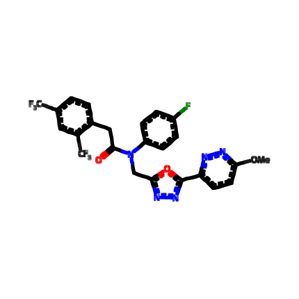 COc1ccc(-c2nnc(CN(C(=O)Cc3ccc(C(F)(F)F)cc3C(F)(F)F)c3ccc(F)cc3)o2)nn1